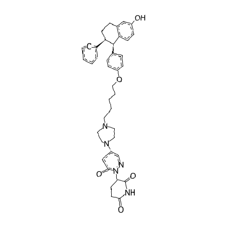 O=C1CCC(n2ncc(N3CCN(CCCCCOc4ccc([C@@H]5c6ccc(O)cc6CC[C@@H]5c5ccccc5)cc4)CC3)cc2=O)C(=O)N1